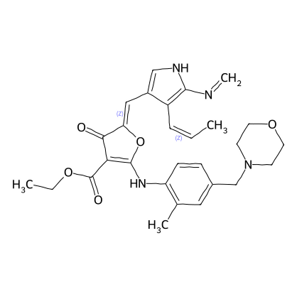 C=Nc1[nH]cc(/C=C2\OC(Nc3ccc(CN4CCOCC4)cc3C)=C(C(=O)OCC)C2=O)c1/C=C\C